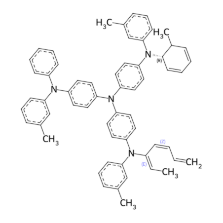 C=C/C=C\C(=C/C)N(c1ccc(N(c2ccc(N(c3ccccc3)c3cccc(C)c3)cc2)c2ccc(N(c3cccc(C)c3)[C@H]3C=CC=CC3C)cc2)cc1)c1cccc(C)c1